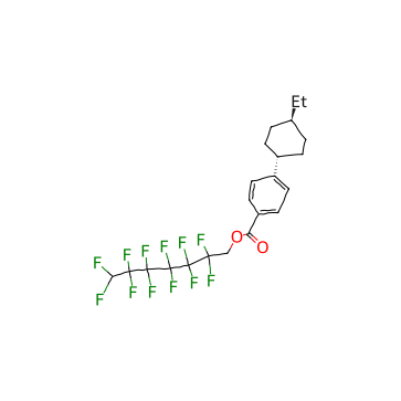 CC[C@H]1CC[C@H](c2ccc(C(=O)OCC(F)(F)C(F)(F)C(F)(F)C(F)(F)C(F)(F)C(F)F)cc2)CC1